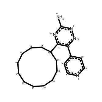 Nc1nnc(-c2ccncc2)c(C2CCCCCCCCCCC2)n1